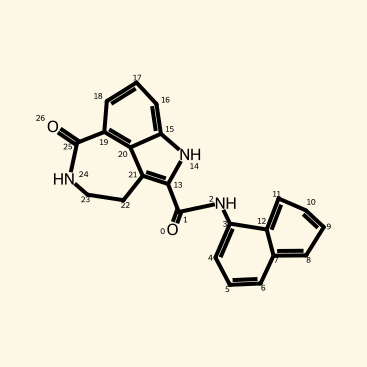 O=C(Nc1cccc2ccccc12)c1[nH]c2cccc3c2c1CCNC3=O